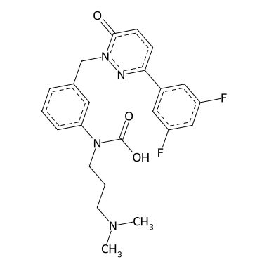 CN(C)CCCN(C(=O)O)c1cccc(Cn2nc(-c3cc(F)cc(F)c3)ccc2=O)c1